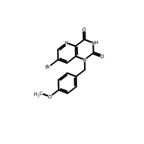 COc1ccc(Cn2c(=O)[nH]c(=O)c3ncc(Br)cc32)cc1